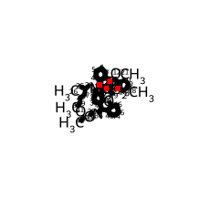 C=c1/c(=c2/cccc/c2=C(/C)C(=O)C2C(C)=CC(C)=CC2C)n(CC(CC)CCCC)c2ccc(/C(=N\COC(C)=O)c3ccccc3OCC(F)(F)C(F)F)cc12